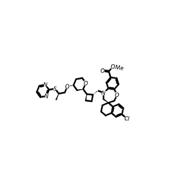 COC(=O)c1ccc2c(c1)N(C[C@@H]1CC[C@H]1[C@H]1C[C@H](OC[C@@H](C)Sc3ncccn3)CCO1)C[C@@]1(CCCc3cc(Cl)ccc31)CO2